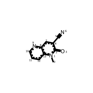 Cn1c(=O)c(C#N)cc2ncccc21